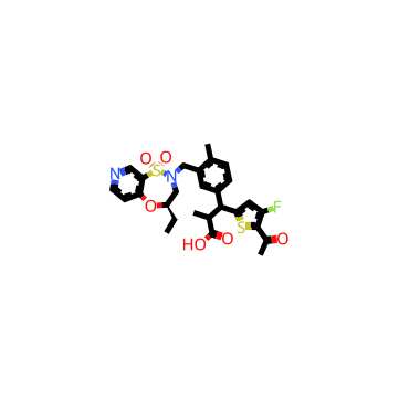 CC[C@@H]1CN(Cc2cc(C(c3cc(F)c(C(C)=O)s3)C(C)C(=O)O)ccc2C)S(=O)(=O)c2cnccc2O1